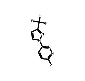 FC(F)(F)c1ccn(-c2ccc(Cl)nn2)n1